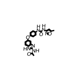 CC(=O)Nc1nc2cc(Oc3ccc(NC(=O)Nc4cc(C)on4)cc3)ccc2[nH]1